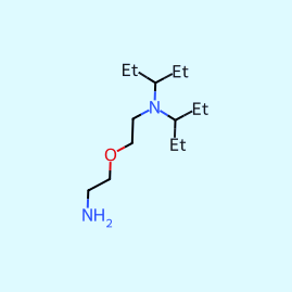 CCC(CC)N(CCOCCN)C(CC)CC